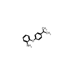 CC(C)c1ccc(Oc2ccccc2N)cc1